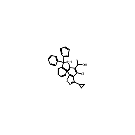 CC(O)c1c(NC(c2ccccc2)(c2ccccc2)c2ccccc2)cc2onc(C3CC3)c2c1Cl